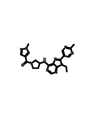 CCn1c(-c2cnc(C)nc2)nc2c(NC3CCN(C(=O)c4cnn(C)c4)C3)ncnc21